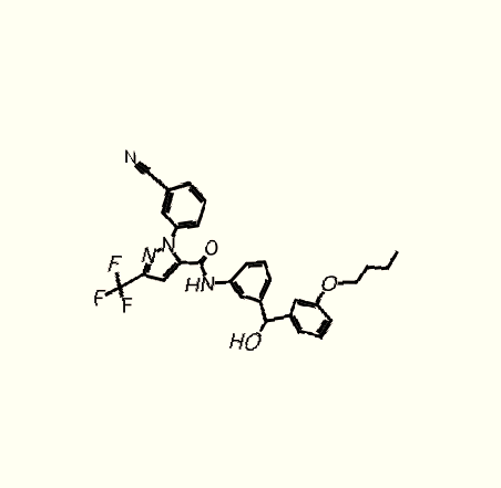 CCCCOc1cccc(C(O)c2cccc(NC(=O)c3cc(C(F)(F)F)nn3-c3cccc(C#N)c3)c2)c1